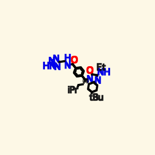 CCNC1=NC2(CCC(C(C)(C)C)CC2)N([C@H](CCC(C)C)c2ccc(C(=O)NCc3nn[nH]n3)cc2)C1=O